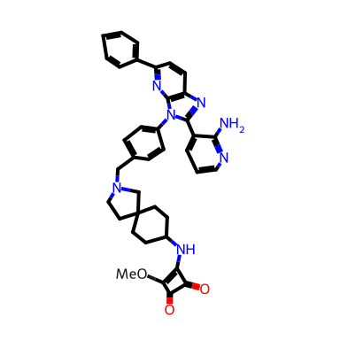 COc1c(NC2CCC3(CC2)CCN(Cc2ccc(-n4c(-c5cccnc5N)nc5ccc(-c6ccccc6)nc54)cc2)C3)c(=O)c1=O